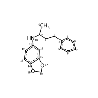 CC(CCc1ccccc1)Nc1ccc2c(c1)OCO2